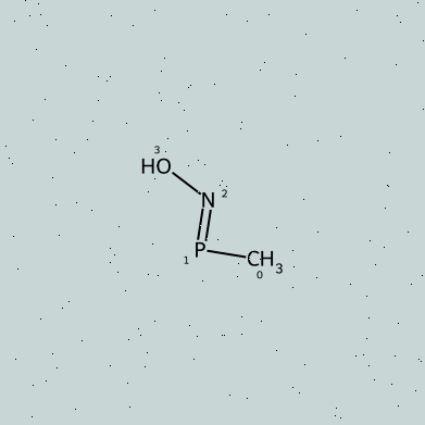 CP=NO